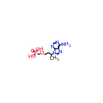 CC(CCOCP(=O)(O)O)n1cnc2c(N)ncnc21